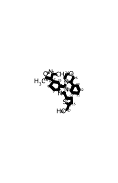 Cc1noc(C)c1-c1ccc2nc(-c3ccc(CO)s3)nc(N3CCOCC3c3ccccc3)c2c1